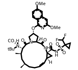 COc1ccc2c(O[C@@H]3C[C@H]4C(=O)N[C@]5(C(=O)NS(=O)(=O)C6(C(F)F)CC6)C[C@H]5/C=C\CC[C@@H](C)C[C@@H](C)[C@H](N(C(=O)O)C(C)(C)C)C(=O)N4C3)nc(OC)cc2c1